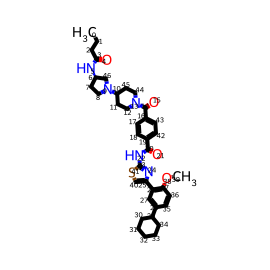 CCCC(=O)N[C@@H]1CCN(C2CCN(C(=O)c3ccc(C(=O)Nc4nc(-c5cc(C6CCCCC6)ccc5OC)cs4)cc3)CC2)C1